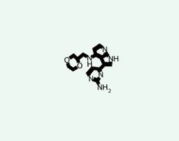 Nc1nccc(-c2c[nH]c3nccc(NCC4COCCO4)c23)n1